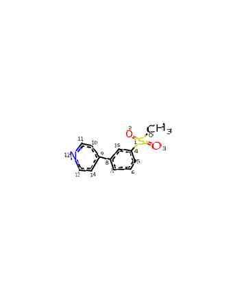 CS(=O)(=O)c1cc[c]c(-c2ccncc2)c1